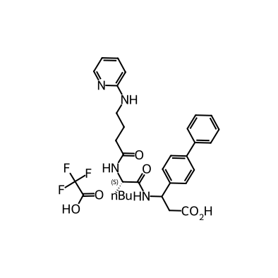 CCCC[C@H](NC(=O)CCCNc1ccccn1)C(=O)NC(CC(=O)O)c1ccc(-c2ccccc2)cc1.O=C(O)C(F)(F)F